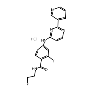 Cl.O=C(NCCF)c1ccc(Nc2ccnc(-c3cccnc3)n2)cc1F